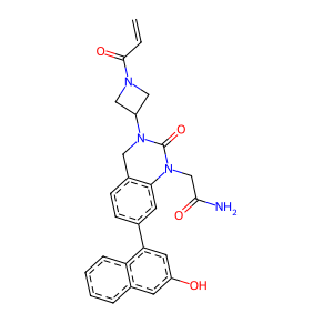 C=CC(=O)N1CC(N2Cc3ccc(-c4cc(O)cc5ccccc45)cc3N(CC(N)=O)C2=O)C1